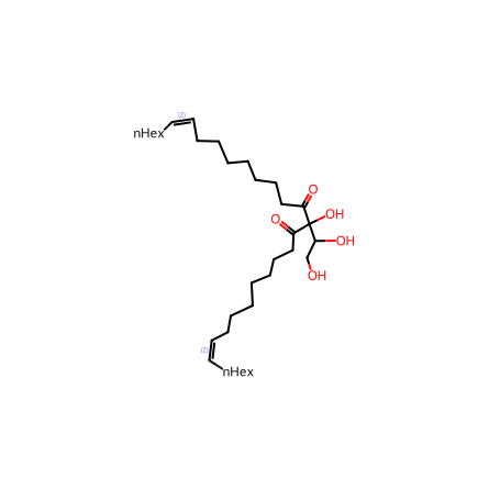 CCCCCC/C=C\CCCCCCCC(=O)C(O)(C(=O)CCCCCCC/C=C\CCCCCC)C(O)CO